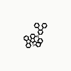 c1ccc(-c2ccc(N(c3ccccc3)c3cccc4c3-c3c(sc5ccccc35)C43c4ccccc4-c4ccccc43)cc2-c2ccccc2)cc1